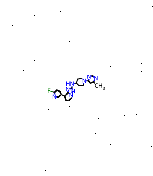 Cc1cc(N2CCC(Nc3nc4c(-c5ccc(F)nc5)cccn4n3)CC2)ncn1